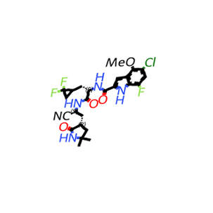 COc1c(Cl)cc(F)c2[nH]c(C(=O)N[C@@H](CC3CC3(F)F)C(=O)N[C@H](C#N)C[C@@H]3CC(C)(C)NC3=O)cc12